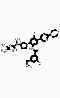 CCc1cc(Cl)cc(C(=O)Nc2cc(-c3cnc(N4CCOCC4)nc3)c(F)cc2N2CCC(N(C)C(=O)OC(C)(C)C)C2)c1